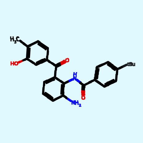 Cc1ccc(C(=O)c2cccc(N)c2NC(=O)c2ccc(C(C)(C)C)cc2)cc1O